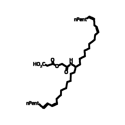 CCCCC/C=C\C/C=C\CCCCCCCCC(CCCCCCCC/C=C\C=C\CCCCC)NC(=O)COC(=O)CC(=O)O